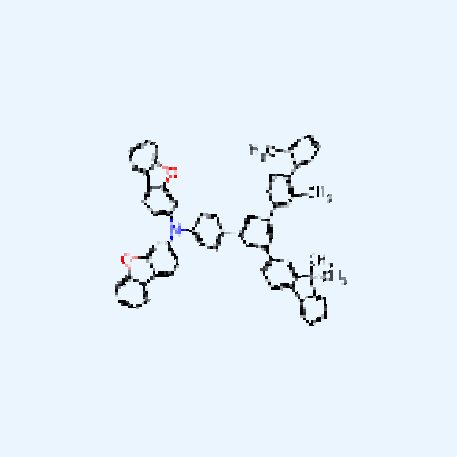 Cc1ccccc1-c1ccc(-c2cc(-c3ccc(N(c4ccc5c(c4)oc4ccccc45)c4ccc5c(c4)oc4ccccc45)cc3)cc(-c3ccc4c(c3)C(C)(C)c3ccccc3-4)c2)cc1C